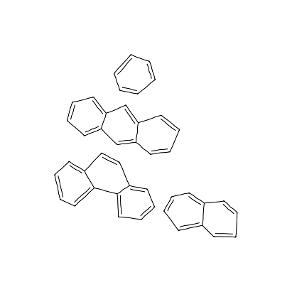 c1ccc2c(c1)ccc1ccccc12.c1ccc2cc3ccccc3cc2c1.c1ccc2ccccc2c1.c1ccccc1